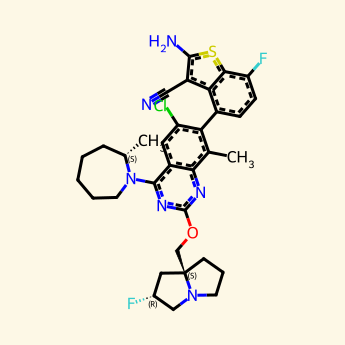 Cc1c(-c2ccc(F)c3sc(N)c(C#N)c23)c(Cl)cc2c(N3CCCCC[C@@H]3C)nc(OC[C@@]34CCCN3C[C@H](F)C4)nc12